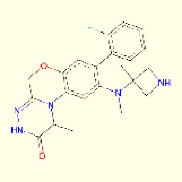 CC1C(=O)NN=C2COc3cc(-c4ccccc4F)c(N(C)C4(C)CNC4)cc3N21